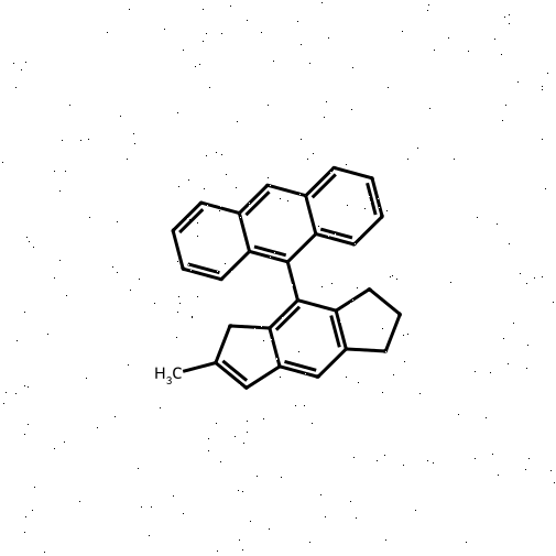 CC1=Cc2cc3c(c(-c4c5ccccc5cc5ccccc45)c2C1)CCC3